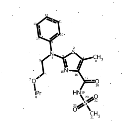 Cc1sc(N(CCOC(C)C)c2ccccc2)nc1C(=O)NS(C)(=O)=O